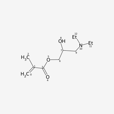 C=C(C)C(=O)OCC(O)CN(CC)CC